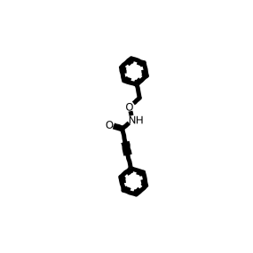 O=C(C#Cc1ccccc1)NOCc1ccccc1